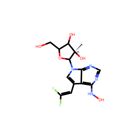 C[C@@]1(O)C(O)C(CO)OC1n1cc(C=C(F)F)c2c(NO)ncnc21